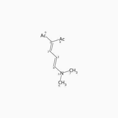 CC(=O)C(=C/C=C/N(C)C)C(C)=O